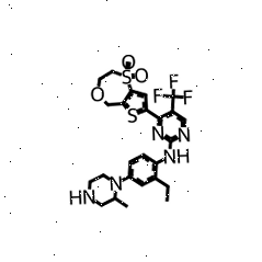 CCc1cc(N2CCNCC2C)ccc1Nc1ncc(C(F)(F)F)c(-c2cc3c(s2)COCCS3(=O)=O)n1